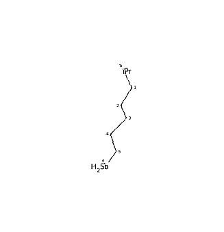 CC(C)CCCC[CH2][SbH2]